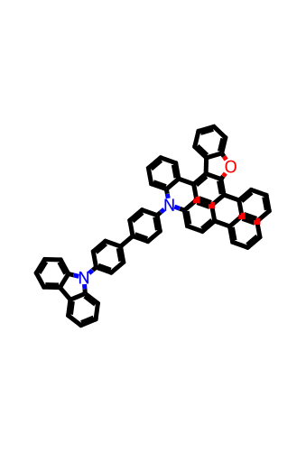 c1ccc(-c2ccc(N(c3ccc(-c4ccc(-n5c6ccccc6c6ccccc65)cc4)cc3)c3ccccc3-c3ccc(-c4ccccc4)c4oc5ccccc5c34)cc2)cc1